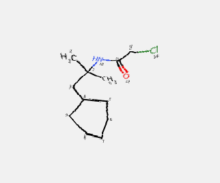 CC(C)(CC1CCCCC1)NC(=O)CCl